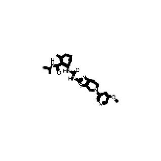 COc1cncc(N2CCc3nc(NC(=O)NC4=C(C(=O)NC(C)C)C(C)CC=C4)sc3C2)c1